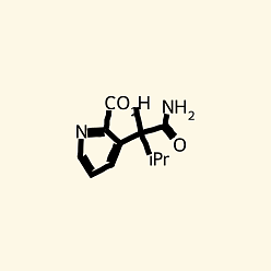 CC(C)C(C)(C(N)=O)c1cccnc1C(=O)O